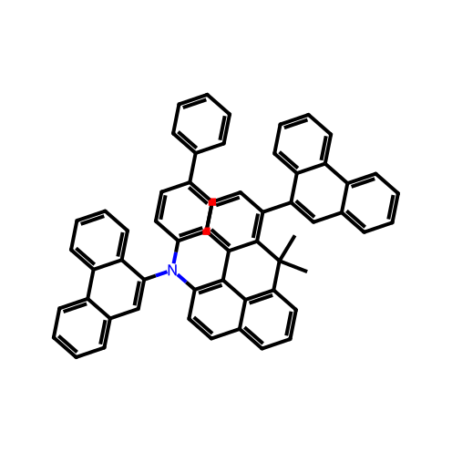 CC1(C)c2c(-c3cc4ccccc4c4ccccc34)cccc2-c2c(N(c3ccc(-c4ccccc4)cc3)c3cc4ccccc4c4ccccc34)ccc3cccc1c23